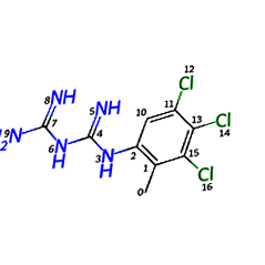 Cc1c(NC(=N)NC(=N)N)cc(Cl)c(Cl)c1Cl